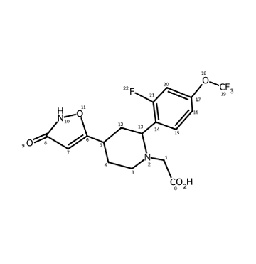 O=C(O)CN1CCC(c2cc(=O)[nH]o2)CC1c1ccc(OC(F)(F)F)cc1F